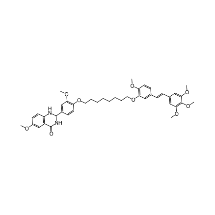 COc1ccc2c(c1)C(=O)NC(c1ccc(OCCCCCCCCOc3cc(/C=C/c4cc(OC)c(OC)c(OC)c4)ccc3OC)c(OC)c1)N2